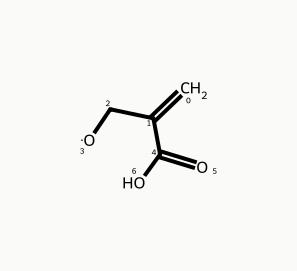 C=C(C[O])C(=O)O